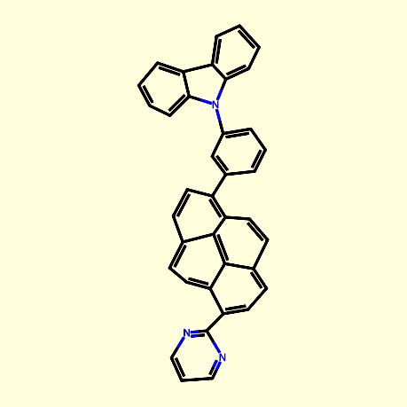 c1cnc(-c2ccc3ccc4c(-c5cccc(-n6c7ccccc7c7ccccc76)c5)ccc5ccc2c3c54)nc1